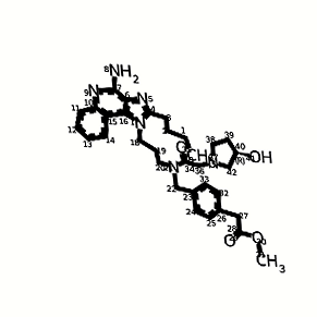 CCCCc1nc2c(N)nc3ccccc3c2n1CCCN(Cc1ccc(CC(=O)OC)cc1)C(=O)CN1CC[C@@H](O)C1